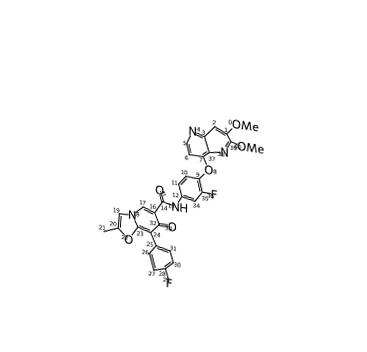 COc1cc2nccc(Oc3ccc(NC(=O)c4cn5cc(C)oc5c(-c5ccc(F)cc5)c4=O)cc3F)c2nc1OC